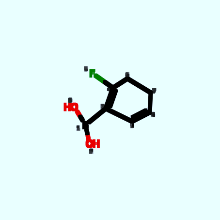 OB(O)C1=C(F)CCC=C1